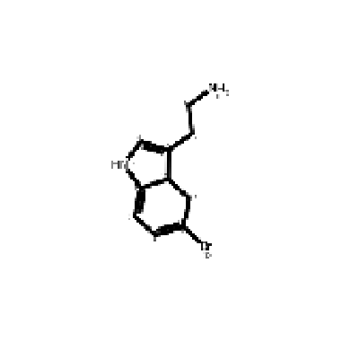 NCCC1=CNC2=CC=C(Br)CC12